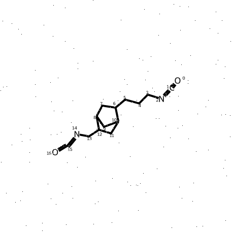 O=C=NCCCC1CC2CC1CC2CN=C=O